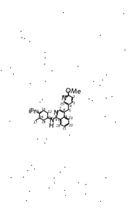 COc1ccc(Cc2cnc(NC3CCC(C(C)C)C(C)C3)c3ccccc23)cn1